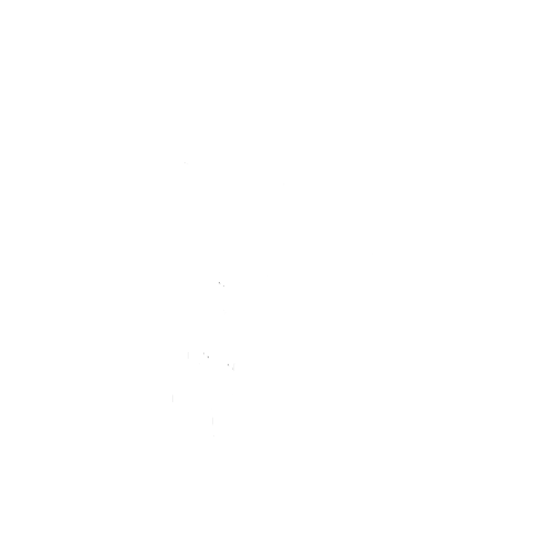 C=C(/C=C\N(N)C[PH](=O)O)NC(=O)c1cc(OCCOC)cc(Oc2ccc(S(C)(=O)=O)cc2)c1